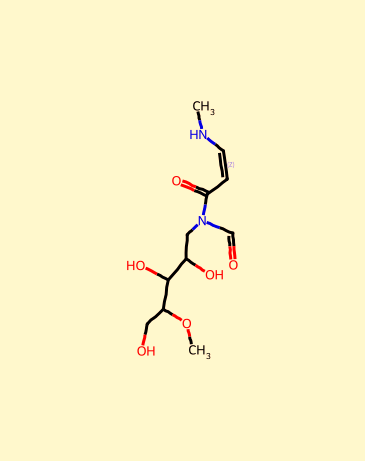 CN/C=C\C(=O)N(C=O)CC(O)C(O)C(CO)OC